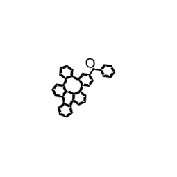 O=C(c1ccccc1)c1ccc2c(c1)c1ccccc1c1cccc3c4ccccc4c4cccc2c4c13